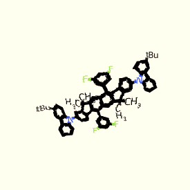 CC(C)(C)c1ccc2c(c1)c1ccccc1n2-c1ccc2c(c1)C(C)(C)c1cc3c(-c4cc(F)cc(F)c4)c4c(cc3c(-c3cc(F)cc(F)c3)c1-2)C(C)(C)c1cc(-n2c3ccccc3c3cc(C(C)(C)C)ccc32)ccc1-4